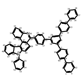 c1ccc(-c2ccc(-c3cc(-c4ccc(-c5ccccc5)cc4)cc(-c4ccc(-c5nc6ccccc6c6c5ccc5c6c6ccccc6n5-c5ccccc5)cc4)c3)cc2)cc1